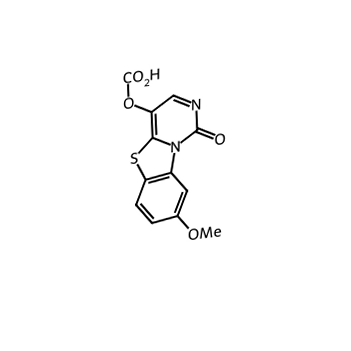 COc1ccc2sc3c(OC(=O)O)cnc(=O)n3c2c1